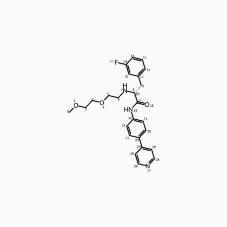 COCCOCCN[C@H](Cc1cccc(F)c1)C(=O)Nc1ccc(-c2ccncc2)cc1